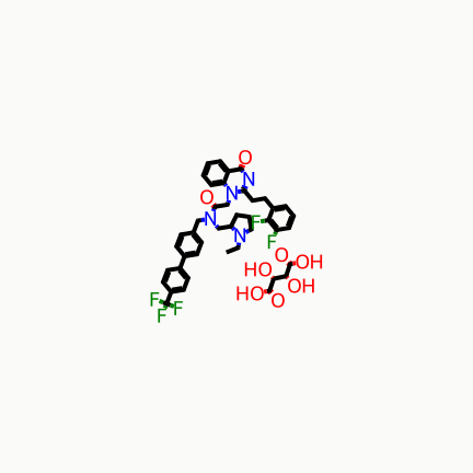 CCN1CCCC1CN(Cc1ccc(-c2ccc(C(F)(F)F)cc2)cc1)C(=O)Cn1c(CCc2cccc(F)c2F)nc(=O)c2ccccc21.O=C(O)C(O)C(O)C(=O)O